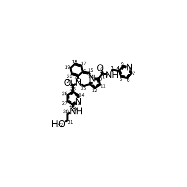 O=C(NCc1cccnc1)c1ccc2n1C=C1C=CCC=C1N(C(=O)c1ccc(NCCO)nc1)C2